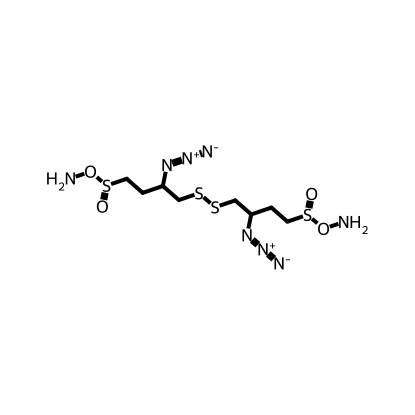 [N-]=[N+]=NC(CCS(=O)ON)CSSCC(CCS(=O)ON)N=[N+]=[N-]